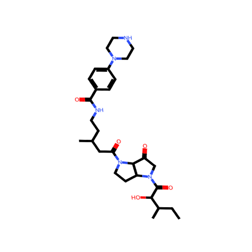 CCC(C)C(O)C(=O)N1CC(=O)C2C1CCN2C(=O)CC(C)CCNC(=O)c1ccc(N2CCNCC2)cc1